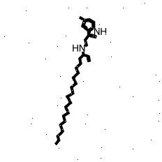 C=CC(CCCCCCCCCCCCCCCCCCC)NCCc1c[nH]c2ccc(C)cc12